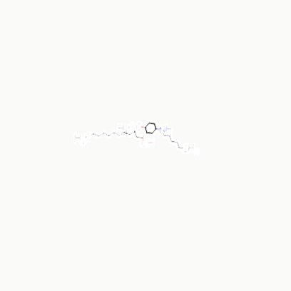 CCCCCCCCCC1(C)CC(O)c2cc(NCCCCCC)ccc2O1